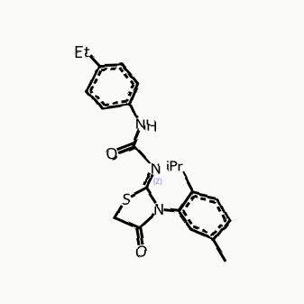 [CH2]Cc1ccc(NC(=O)/N=C2\SCC(=O)N2c2cc(C)ccc2C(C)C)cc1